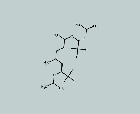 CC(C)C[C@@H](OC(C)CCC(C)C[C@H](OC(C)C)C(F)(F)F)C(F)(F)F